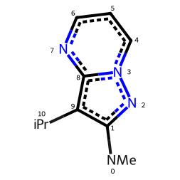 CNc1nn2cccnc2c1C(C)C